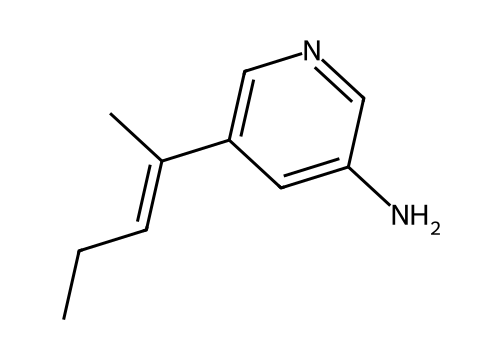 CCC=C(C)c1cncc(N)c1